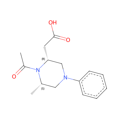 CC(=O)N1[C@H](CC(=O)O)CN(c2ccccc2)C[C@@H]1C